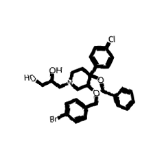 OCC(O)CN1CCC(OCc2ccccc2)(c2ccc(Cl)cc2)C(OCc2ccc(Br)cc2)C1